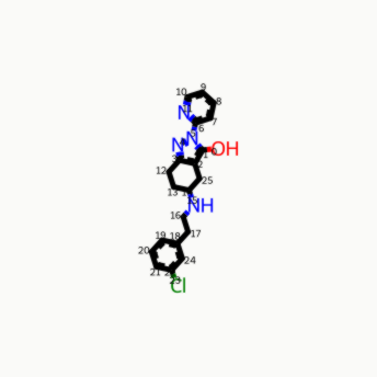 Oc1c2c(nn1-c1ccccn1)CCC(NCCc1cccc(Cl)c1)C2